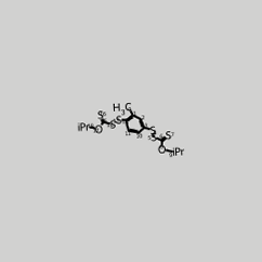 Cc1cc(SSC(=S)OC(C)C)ccc1SSC(=S)OC(C)C